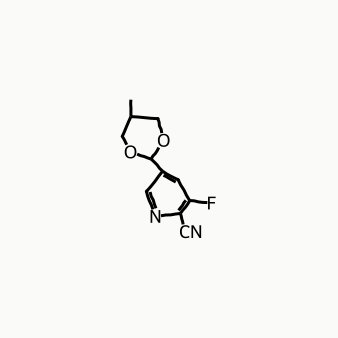 CC1COC(c2cnc(C#N)c(F)c2)OC1